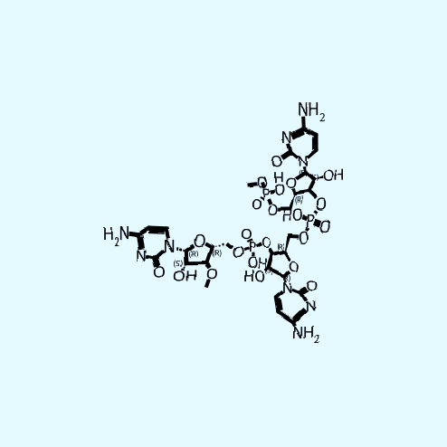 COC1[C@@H](COP(=O)(O)OC2[C@@H](COP(=O)(O)OC3[C@@H](COP(=O)(O)OC)O[C@@H](n4ccc(N)nc4=O)[C@H]3O)O[C@@H](n3ccc(N)nc3=O)[C@H]2O)O[C@@H](n2ccc(N)nc2=O)[C@H]1O